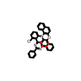 Clc1cccc(N2c3ccccc3Oc3ccc4ccccc4c32)c1-c1nc(-c2ccccc2)nc(-c2ccccc2)n1